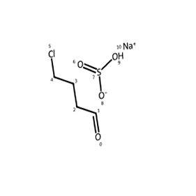 O=CCCCCl.O=S([O-])O.[Na+]